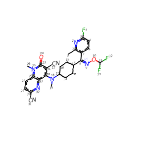 Cc1nc(F)ccc1/C(=N\OC(F)F)C1CCC(N(C)c2c(C#N)c(=O)n(C)c3ccc(C#N)nc23)CC1